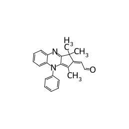 CC1=C2C(=Nc3ccccc3N2c2ccccc2)C(C)(C)C1=CC=O